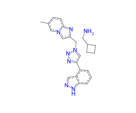 Cc1ccc2nc(Cn3cc(-c4cccc5[nH]ncc45)nn3)cn2c1.NCC1CCC1